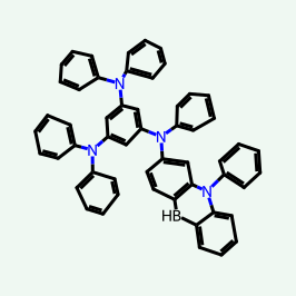 B1c2ccccc2N(c2ccccc2)c2cc(N(c3ccccc3)c3cc(N(c4ccccc4)c4ccccc4)cc(N(c4ccccc4)c4ccccc4)c3)ccc21